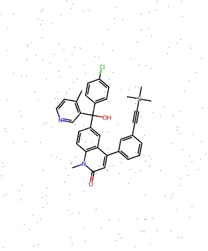 Cc1ccncc1C(O)(c1ccc(Cl)cc1)c1ccc2c(c1)c(-c1cccc(C#C[Si](C)(C)C)c1)cc(=O)n2C